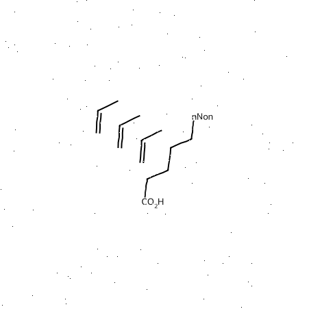 C=CC.C=CC.C=CC.CCCCCCCCCCCCCC(=O)O